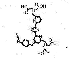 O=C(O)CN(CC(=O)O)Cc1cc(Cc2ccc(N=C=S)cc2)cc(-c2n[nH]c(-c3cccc(CN(CC(=O)O)CC(=O)O)n3)n2)n1